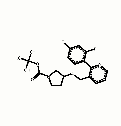 CC(C)(C)OC(=O)N1CCC(OCc2cccnc2-c2ccc(F)cc2F)C1